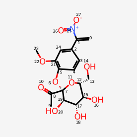 C=C(c1ccc(O[C@]2(C(C)=O)O[C@H](CO)[C@@H](O)[C@H](O)[C@H]2O)c(OC)c1)[N+](=O)[O-]